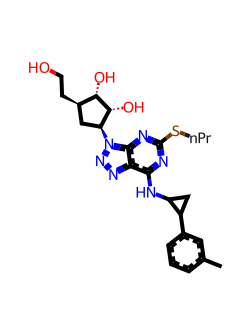 CCCSc1nc(NC2CC2c2cccc(C)c2)c2nnn([C@H]3C[C@@H](CCO)[C@H](O)[C@@H]3O)c2n1